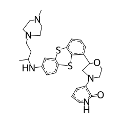 CC(CCN1CCN(C)CC1)Nc1ccc2c(c1)Sc1cccc(C3CN(c4ccc[nH]c4=O)CCO3)c1S2